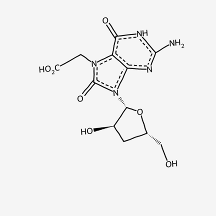 Nc1nc2c(c(=O)[nH]1)n(CC(=O)O)c(=O)n2[C@@H]1O[C@H](CO)C[C@H]1O